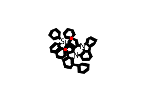 c1ccc(-c2cccc(-n3c4ccccc4c4cccc(-n5c6ccc([Si](c7ccccc7)(c7ccccc7)c7ccccc7)cc6c6cccc(-c7ccccc7)c65)c43)c2)cc1